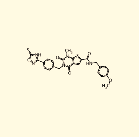 COc1ccc(CNC(=O)c2cc3c(=O)n(Cc4ccc(-c5noc(=S)[nH]5)cc4)c(=O)n(C)c3s2)cc1